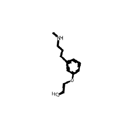 CNCCCc1cccc(OCCO)c1